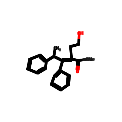 COC(=O)C(CCO)=C(c1ccccc1)C(C)c1ccccc1